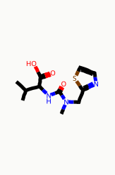 CC(C)C(NC(=O)N(C)Cc1nccs1)C(=O)O